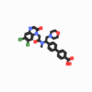 CN(C(=O)Cn1c(=O)cnc2cc(Cl)c(Cl)cc21)C(CN1CCOCC1)c1ccc(-c2ccc(C(=O)O)cc2)cc1